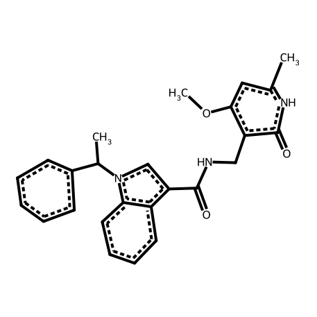 COc1cc(C)[nH]c(=O)c1CNC(=O)c1cn(C(C)c2ccccc2)c2ccccc12